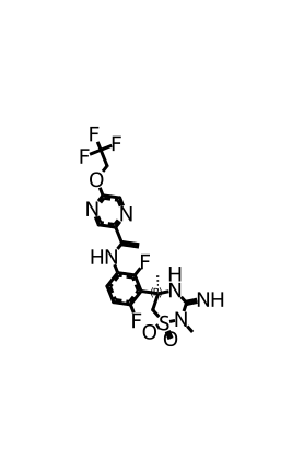 C=C(Nc1ccc(F)c([C@]2(C)CS(=O)(=O)N(C)C(=N)N2)c1F)c1cnc(OCC(F)(F)F)cn1